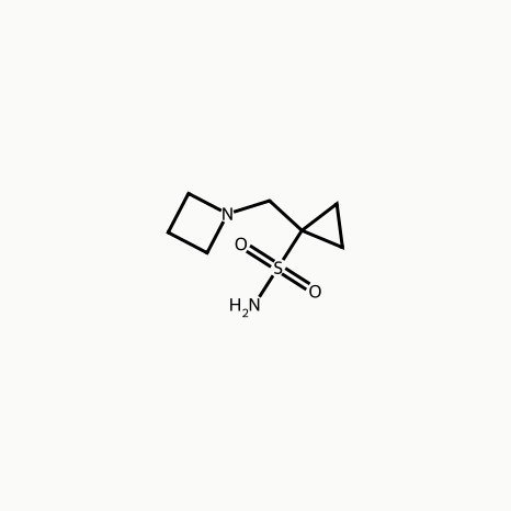 NS(=O)(=O)C1(CN2CCC2)CC1